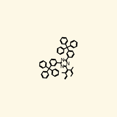 C=C/C(C)=C(\C(C)=C/C)c1nc(-c2cccc(C(c3ccccc3)(c3ccccc3)c3ccccc3)c2)nc(-c2cccc(C(c3ccccc3)(c3ccccc3)c3ccccc3)c2)n1